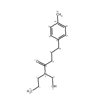 CCCN(CO)C(=O)CCCc1ccc(C)cc1